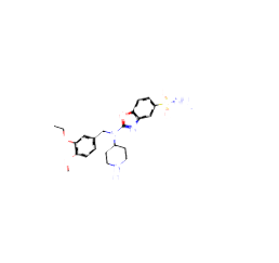 CCOc1cc(CN(c2nc3cc(S(N)(=O)=O)ccc3o2)C2CCNCC2)ccc1OC